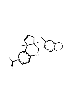 CC(=N)c1ccc2c(c1)[C@@H]1C=CC[C@@H]1[C@H](c1cc3c(cc1Br)OCO3)N2